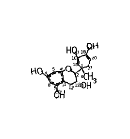 CC1([C@@H]2Oc3cc(O)cc(O)c3C[C@H]2O)C=C(O)C(O)=CC1